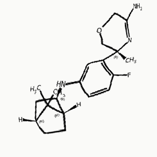 CC1(C)[C@@H]2CC[C@H]1[C@H](Nc1ccc(F)c([C@]3(C)COCC(N)=N3)c1)C2